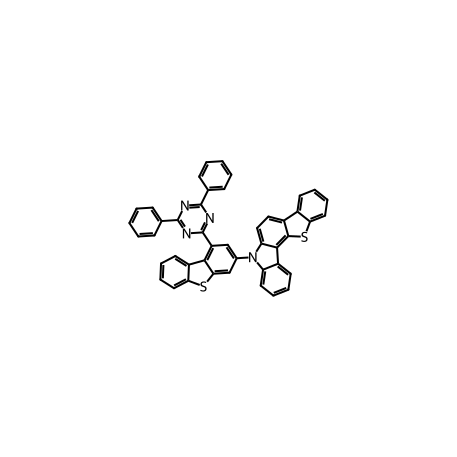 c1ccc(-c2nc(-c3ccccc3)nc(-c3cc(-n4c5ccccc5c5c6sc7ccccc7c6ccc54)cc4sc5ccccc5c34)n2)cc1